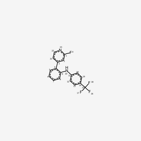 Fc1cc(-c2ccccc2Nc2ccc(C(F)(F)F)cc2)ccn1